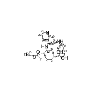 C[C@@H]1CCC[C@H](CC(=O)OC(C)(C)C)C[C@H](Nc2nc(Nc3ncc(CO)s3)cc3ncccc23)C1